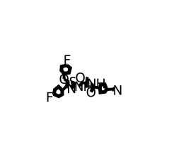 CC(C)(NC(=O)c1ccc(C#N)cc1)C(=O)Nc1nc(-c2ccc(F)cc2)c(Oc2ccc(F)cc2)s1